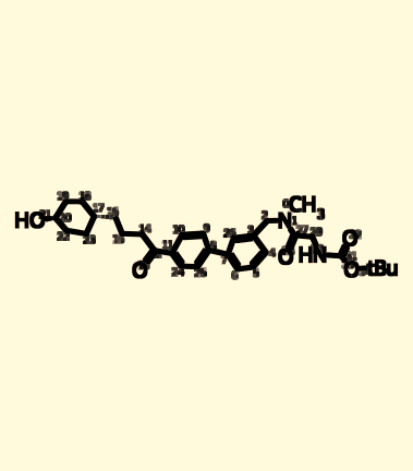 CN(Cc1cccc(-c2ccc(C(=O)CCC[C@H]3CC[C@H](O)CC3)cc2)c1)C(=O)CNC(=O)OC(C)(C)C